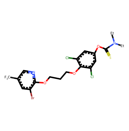 CCN(CC)C(=S)Oc1cc(Cl)c(OCCCOc2ncc(C(F)(F)F)cc2Br)c(Cl)c1